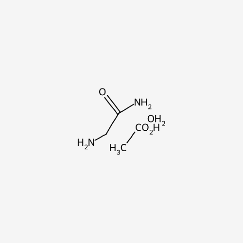 CC(=O)O.NCC(N)=O.O